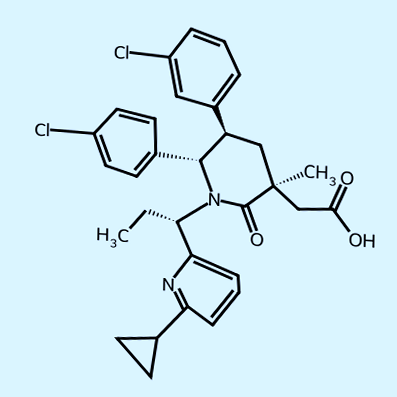 CC[C@@H](c1cccc(C2CC2)n1)N1C(=O)[C@](C)(CC(=O)O)C[C@H](c2cccc(Cl)c2)[C@H]1c1ccc(Cl)cc1